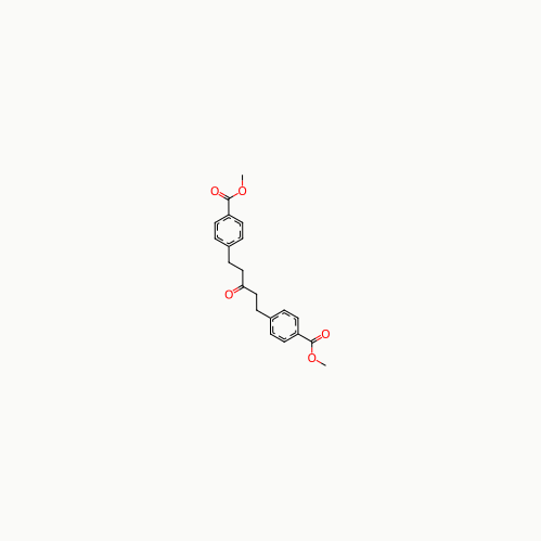 COC(=O)c1ccc(CCC(=O)CCc2ccc(C(=O)OC)cc2)cc1